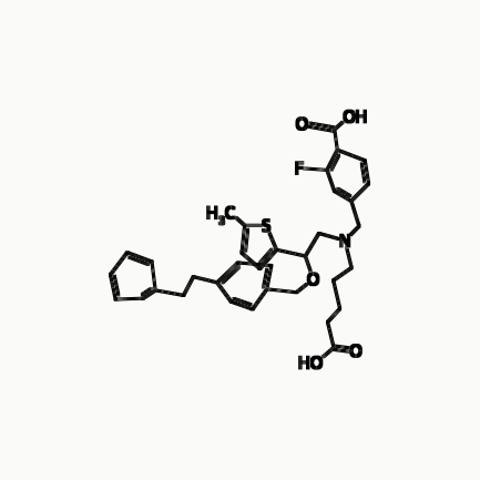 Cc1ccc(C(CN(CCCCC(=O)O)Cc2ccc(C(=O)O)c(F)c2)OCc2ccc(CCc3ccccc3)cc2)s1